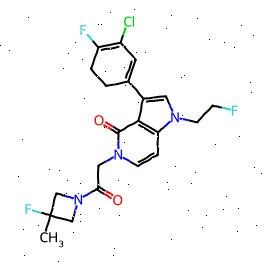 CC1(F)CN(C(=O)Cn2ccc3c(c(C4=CC(Cl)=C(F)CC4)cn3CCF)c2=O)C1